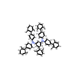 Cc1cccc(C)c1-c1ccc(N(c2ccc(-c3c(C)cccc3C)cc2)c2cc(-c3c(C)cccc3C)cc(N(c3ccc(-c4c(C)cccc4C)cc3)c3ccc(-c4c(C)cccc4C)cc3)c2)cc1